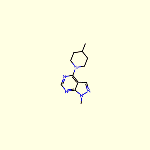 CC1CCN(c2ncnc3c2cnn3C)CC1